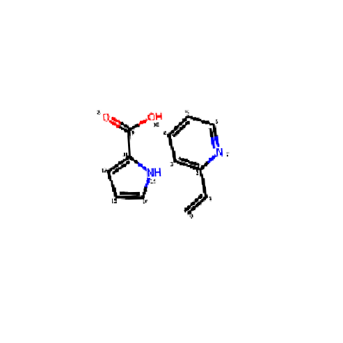 C=Cc1ccccn1.O=C(O)c1ccc[nH]1